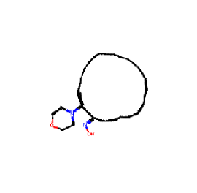 ON=C1CCCCCCCCCCCCCCC=C1N1CCOCC1